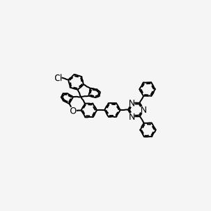 Clc1ccc2c(c1)C1(c3ccccc3Oc3ccc(-c4ccc(-c5nc(-c6ccccc6)nc(-c6ccccc6)n5)cc4)cc31)c1ccccc1-2